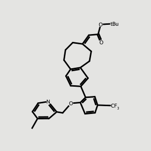 Cc1ccnc(COc2ccc(C(F)(F)F)cc2-c2ccc3c(c2)CC/C(=C\C(=O)OC(C)(C)C)CCC3)c1